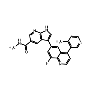 CNC(=O)c1cnc2[nH]cc(-c3cc(F)c4nccc(-c5cnccc5C)c4c3)c2c1